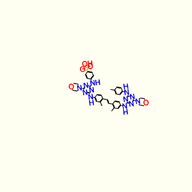 Cc1ccc(Nc2nc(Nc3ccc(C=Cc4ccc(Nc5nc(Nc6ccc(S(=O)(=O)O)cc6)nc(N6CCOCC6)n5)cc4C)c(C)c3)nc(N3CCOCC3)n2)cc1